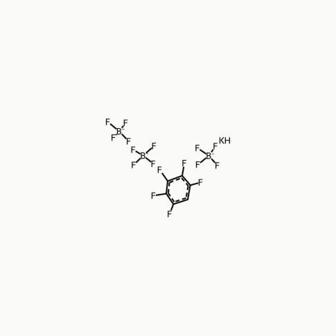 F[B-](F)(F)F.F[B-](F)(F)F.F[B-](F)(F)F.Fc1cc(F)c(F)c(F)c1F.[KH]